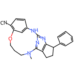 [C-]#[N+]c1ccc2cc1OCCCN(C)c1nc(nc3c1CCC3c1ccccc1)N2